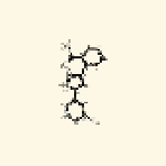 O=NC(=O)c1ccccc1-c1cc(-c2cccc(F)c2)[nH]n1